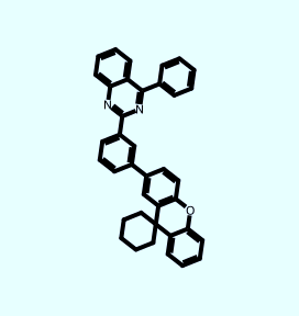 c1ccc(-c2nc(-c3cccc(-c4ccc5c(c4)C4(CCCCC4)c4ccccc4O5)c3)nc3ccccc23)cc1